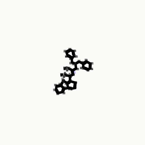 N/C(=C\N(N)c1cccc2c1oc1ccccc12)CN(Cc1ccccn1)Cc1ccccn1